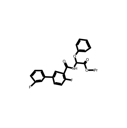 CC(C)OC(=O)C(NC(=O)c1cc(-c2cccc(F)c2)ccc1F)Oc1ccccc1